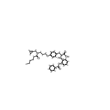 CCCCCC(=O)N(CCCOc1ccc(CC(Nc2ccccc2OC(=O)c2ccccc2)C(=O)O)cc1)CC1CC1